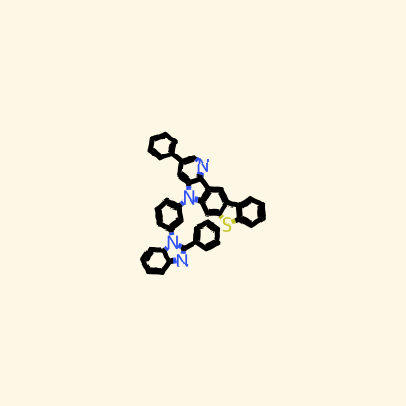 C1=CC2=NC(c3ccccc3)N(c3cccc(-n4c5cc6sc7ccccc7c6cc5c5ncc(-c6ccccc6)cc54)c3)C2C=C1